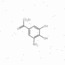 CCOC(=O)C(=O)c1cc(O)c(O)c([N+](=O)[O-])c1